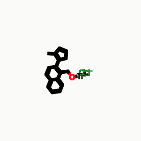 CC1=C(c2ccc3ccccc3c2C[O][Ti+2])CC=C1.[Cl-].[Cl-]